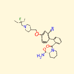 CCC(F)(CC)CN1CCC(COc2ccc(-c3ccccc3C(=O)N3CCCC[C@@H]3C(N)=O)c(C#N)c2)CC1